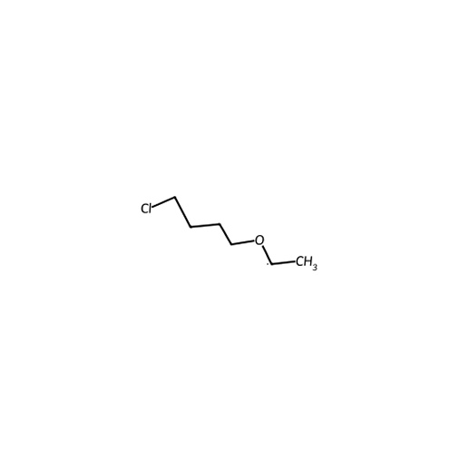 C[CH]OCCCCCl